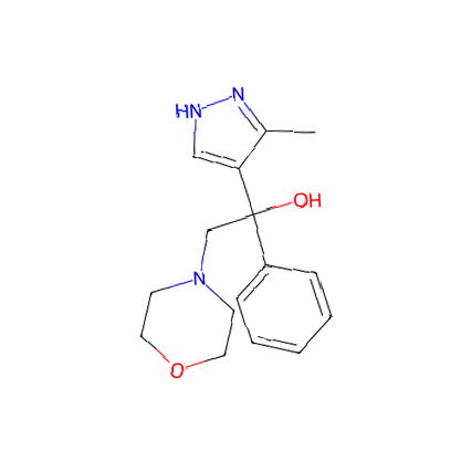 Cc1n[nH]cc1C(O)(CN1CCOCC1)c1ccccc1